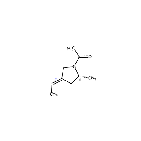 C/C=C1\C[C@@H](C)N(C(C)=O)C1